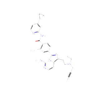 CC#CCN1CCC(c2nc(-c3ccc(C(=O)Nc4cc(C5CC5)ccn4)c(C(F)(F)F)c3)n3c(N)nccc23)C1